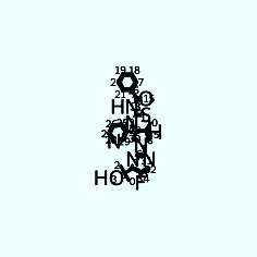 CC(C)(O)c1nc(N2C[C@H]3CSC(NC(=O)c4ccccc4)=N[C@@]3(c3cccnc3)C2)ncc1F